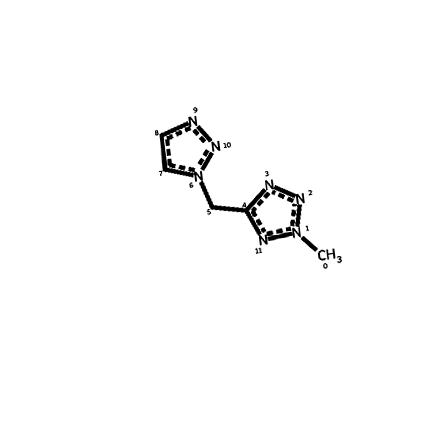 Cn1nnc(Cn2ccnn2)n1